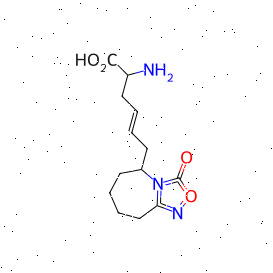 NC(C/C=C/CC1CCCCc2noc(=O)n21)C(=O)O